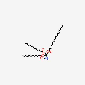 CCCCCCCCCCCCCCCCCC(=O)OCC(COC(=O)CCCCCCCCCCC)(COC(=O)CCCCCCCCCCC)CN(C)C